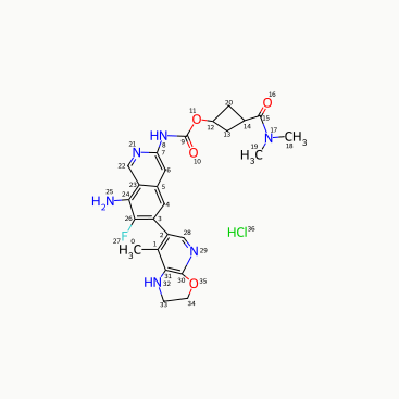 Cc1c(-c2cc3cc(NC(=O)OC4CC(C(=O)N(C)C)C4)ncc3c(N)c2F)cnc2c1NCCO2.Cl